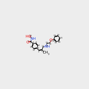 C/C(=C/c1ccc(C(=O)NO)cc1)CNCCOc1ccccc1